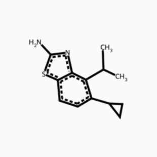 CC(C)c1c(C2CC2)ccc2sc(N)nc12